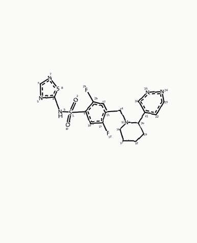 O=S(=O)(Nc1ncns1)c1cc(F)c(CN2CCCCC2c2ccnnc2)cc1F